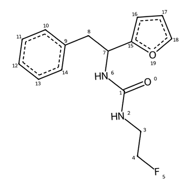 O=C(NCCF)NC(Cc1ccccc1)c1ccco1